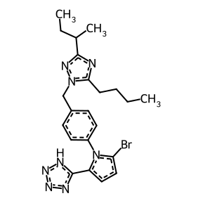 CCCCc1nc(C(C)CC)nn1Cc1ccc(-n2c(Br)ccc2-c2nnn[nH]2)cc1